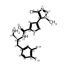 Cn1nnc(Cl)c1-c1csc(C(=O)N[C@H](CN)Cc2ccc(F)c(F)c2)c1